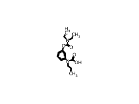 CCCN(C(=O)O)c1cccc(OC(=O)N(CC)CC)c1